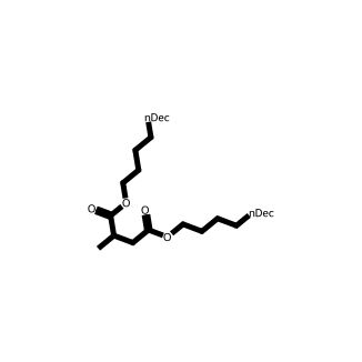 CCCCCCCCCCCCCCOC(=O)CC(C)C(=O)OCCCCCCCCCCCCCC